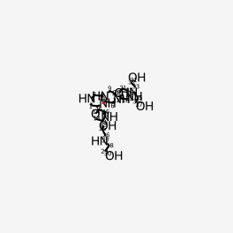 C1CNCCN1.C1CNCCN1.C1COCCN1.C1COCCN1.OCCNCCO.OCCNCCO